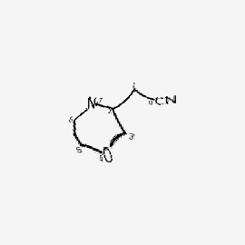 N#CCC1COCC[N]1